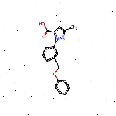 Cc1cc(C(=O)O)n(-c2cccc(COc3ccccc3)c2)n1